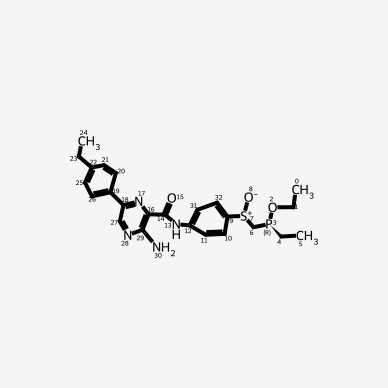 CCO[P@@](CC)C[S+]([O-])c1ccc(NC(=O)c2nc(-c3ccc(CC)cc3)cnc2N)cc1